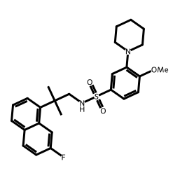 COc1ccc(S(=O)(=O)NCC(C)(C)c2cccc3ccc(F)cc23)cc1N1CCCCC1